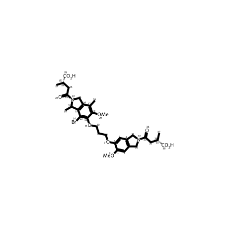 COc1cc2c(cc1OCCCOc1c(Br)c3c(c(C)c1OC)CN(C(=O)C[C@H](C)C(=O)O)C3C)CN(C(=O)C[C@H](C)C(=O)O)C2